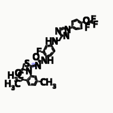 Cc1ccc(C(C)C)c(N2C(=O)CS/C2=N\C(=O)Nc2ccc(NCc3ncn(-c4ccc(OC(F)(F)F)cc4)n3)cc2F)c1